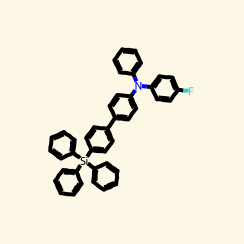 Fc1ccc(N(c2ccccc2)c2ccc(-c3ccc([Si](c4ccccc4)(c4ccccc4)c4ccccc4)cc3)cc2)cc1